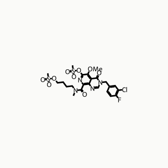 COc1c(OS(C)(=O)=O)nc(C(=O)N(C)CCCCOS(C)(=O)=O)c2ncn(Cc3ccc(F)c(Cl)c3)c(=O)c12